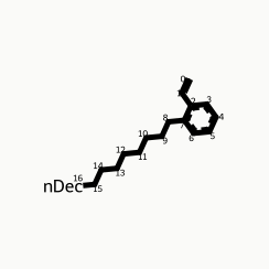 C=Cc1ccccc1CCCCCCCCCCCCCCCCCC